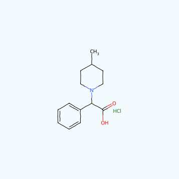 CC1CCN(C(C(=O)O)c2ccccc2)CC1.Cl